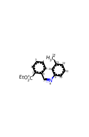 CCOC(=O)c1ccccc1/C=N\c1cccc(C)c1